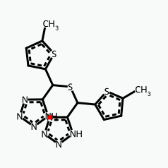 Cc1ccc(C(SC(c2nnn[nH]2)c2ccc(C)s2)c2nnn[nH]2)s1